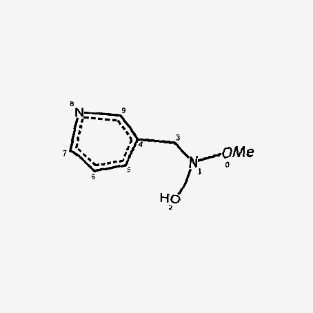 CON(O)Cc1cccnc1